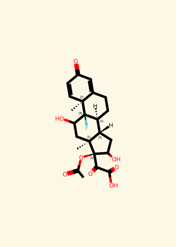 CC(=O)O[C@]1(C(=O)C(=O)O)C(O)C[C@H]2[C@@H]3CCC4=CC(=O)C=C[C@]4(C)[C@@]3(F)C(O)C[C@@]21C